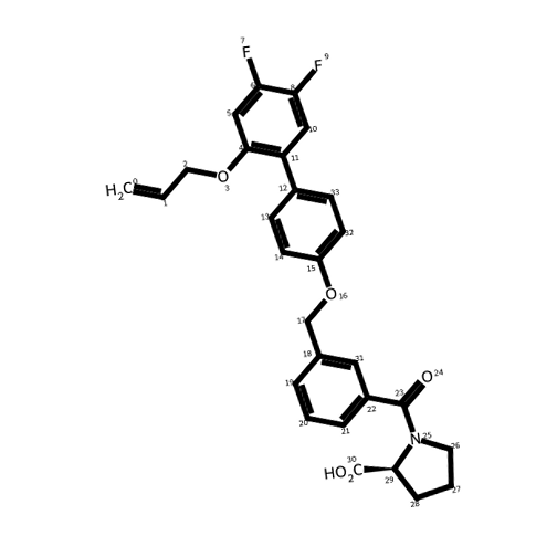 C=CCOc1cc(F)c(F)cc1-c1ccc(OCc2cccc(C(=O)N3CCC[C@H]3C(=O)O)c2)cc1